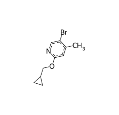 Cc1cc(OCC2CC2)ncc1Br